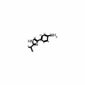 CC(C)c1nc(-c2ccc(N)cc2)c[nH]1